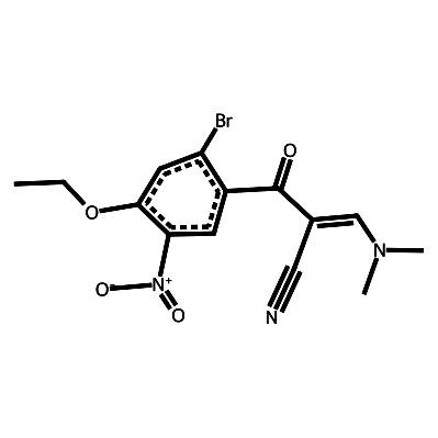 CCOc1cc(Br)c(C(=O)C(C#N)=CN(C)C)cc1[N+](=O)[O-]